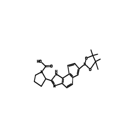 CC1(C)OB(c2ccc3c(ccc4nc(C5CCCN5C(=O)O)[nH]c43)c2)OC1(C)C